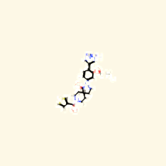 COc1cc(N2CCC3(CCN(C(=O)c4ccsc4)CC3)C2=O)ccc1-c1cn[nH]c1